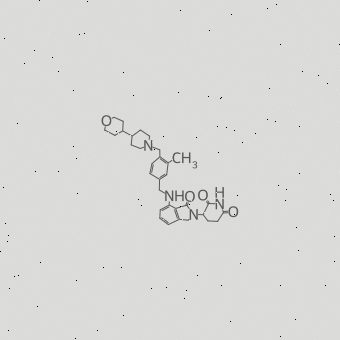 Cc1cc(CNc2cccc3c2C(=O)N(C2CCC(=O)NC2=O)C3)ccc1CN1CCC(C2CCOCC2)CC1